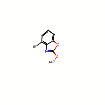 CCc1cccc2oc(OOC(C)=O)nc12